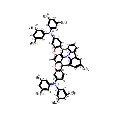 Cc1c2c3c4c5c1Oc1cc(N(c6cc(C(C)(C)C)cc(C(C)(C)C)c6)c6cc(C(C)(C)C)cc(C(C)(C)C)c6)ccc1B5c1cc(C(C)(C)C)cc5c6cccc(c6n-4c15)B3c1ccc(N(c3cc(C(C)(C)C)cc(C(C)(C)C)c3)c3cc(C(C)(C)C)cc(C(C)(C)C)c3)cc1O2